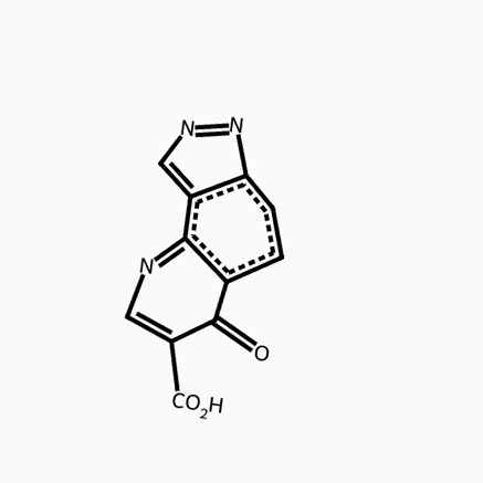 O=C(O)C1=CN=c2c(ccc3c2=CN=N3)C1=O